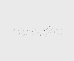 COC(=O)c1c(C)cc(N2CC3CN(C(=O)c4ccc5c(-c6ccc(Cl)c(F)c6)cn(C(C)(C)C)c5n4)C3C2)nc1C